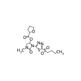 CCCCS(=O)(=O)c1nnc(N2C(=O)N(C)CC2OC(=O)C2CCCO2)s1